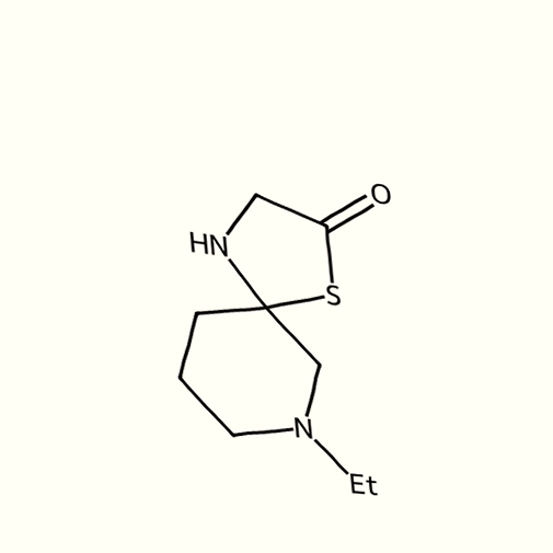 CCN1CCCC2(C1)NCC(=O)S2